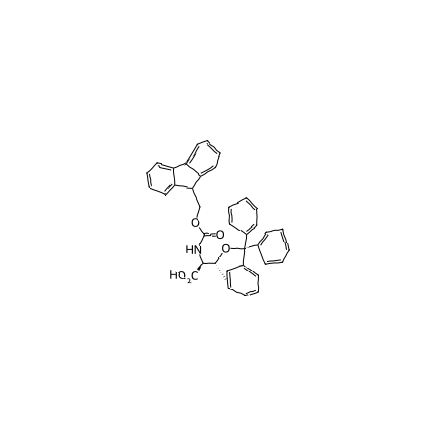 C[C@@H](OC(c1ccccc1)(c1ccccc1)c1ccccc1)[C@H](NC(=O)OCC1c2ccccc2-c2ccccc21)C(=O)O